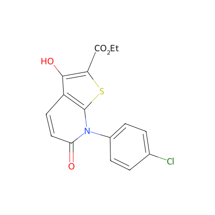 CCOC(=O)c1sc2c(ccc(=O)n2-c2ccc(Cl)cc2)c1O